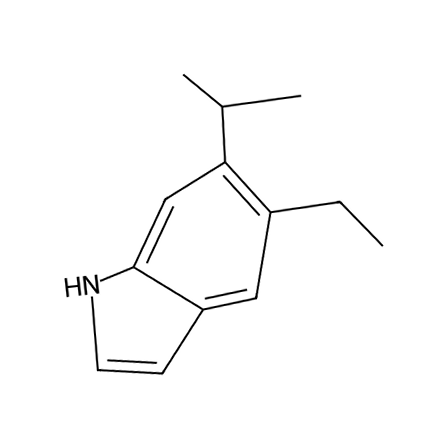 CCc1cc2cc[nH]c2cc1C(C)C